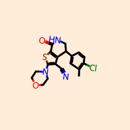 Cc1cc(C2CNC(=O)c3sc(N4CCOCC4)c(C#N)c32)ccc1Cl